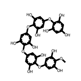 COc1c(O)cc(Oc2c(O)cc(Oc3c(O)cc(Oc4c(O)cc(Oc5c(O)cc(O)cc5O)cc4O)cc3O)cc2O)cc1O